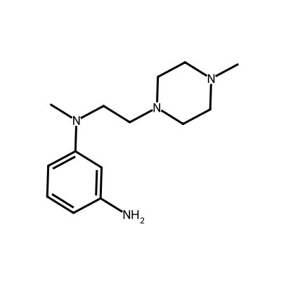 CN1CCN(CCN(C)c2cccc(N)c2)CC1